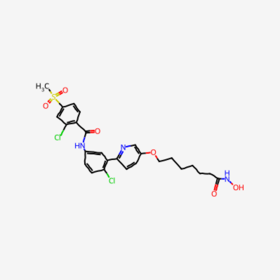 CS(=O)(=O)c1ccc(C(=O)Nc2ccc(Cl)c(-c3ccc(OCCCCCCC(=O)NO)cn3)c2)c(Cl)c1